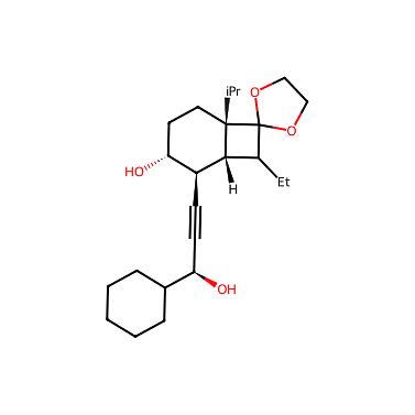 CCC1[C@@H]2[C@@H](C#C[C@@H](O)C3CCCCC3)[C@H](O)CC[C@]2(C(C)C)C12OCCO2